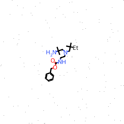 CCC(C)(C)CN(CCNC(=O)OCc1ccccc1)CC(C)(C)N